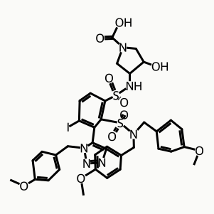 COc1ccc(CN(Cc2ccc(OC)cc2)S(=O)(=O)c2c(S(=O)(=O)NC3CN(C(=O)O)CC3O)ccc(I)c2-c2cnnn2Cc2ccc(OC)cc2)cc1